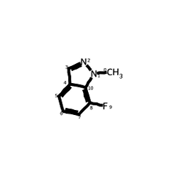 Cn1ncc2cccc(F)c21